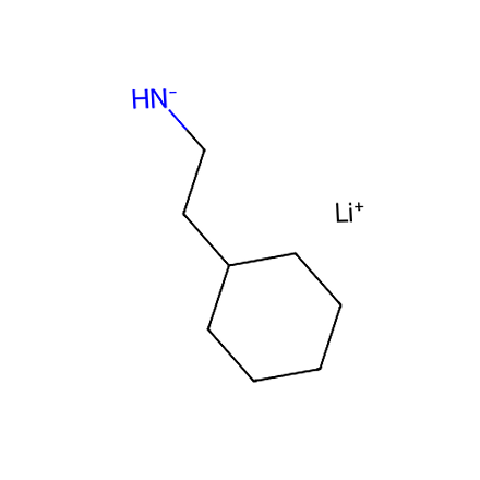 [Li+].[NH-]CCC1CCCCC1